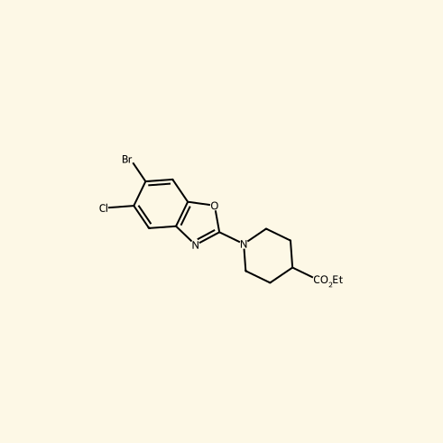 CCOC(=O)C1CCN(c2nc3cc(Cl)c(Br)cc3o2)CC1